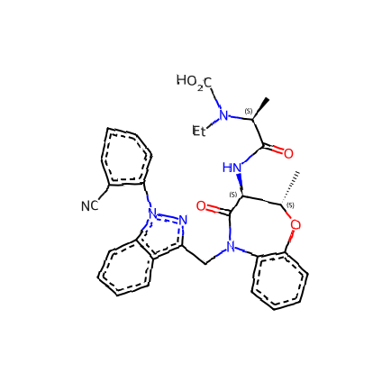 CCN(C(=O)O)[C@@H](C)C(=O)N[C@@H]1C(=O)N(Cc2nn(-c3ccccc3C#N)c3ccccc23)c2ccccc2O[C@H]1C